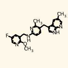 COc1ncc(F)cc1CNc1ccc(Cc2c[nH]c3ncc(C)cc23)c(C)n1